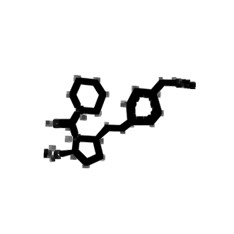 COCc1ccc(CC[C@H]2CC[C@@H](C)N2C(=O)N2CCCCC2)cc1